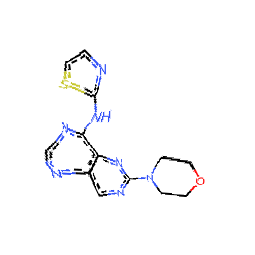 c1csc(Nc2ncnc3cnc(N4CCOCC4)nc23)n1